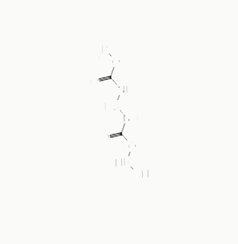 BOC(=O)NBNC(=O)OBC